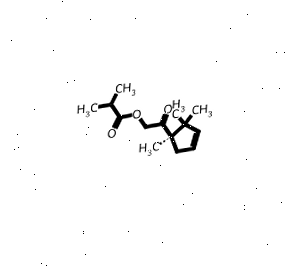 CC(C)C(=O)OCC(=O)[C@]1(C)CC=CC1(C)C